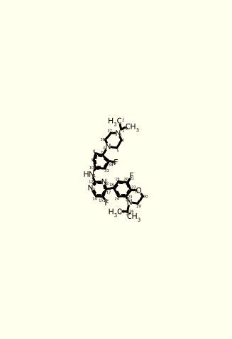 CC(C)N1CCN(c2ccc(Nc3ncc(F)c(-c4cc(F)c5c(c4)N(C(C)C)CCO5)n3)cc2F)CC1